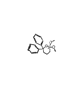 CO[Si]1(OC)CCCC(c2ccccc2)(c2ccccc2)O1